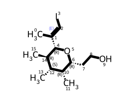 C/C(=C\I)[C@@H]1O[C@H](CCO)[C@H](C)[C@H](C)[C@H]1C